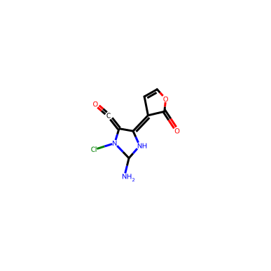 NC1NC(=C2C=COC2=O)C(=C=O)N1Cl